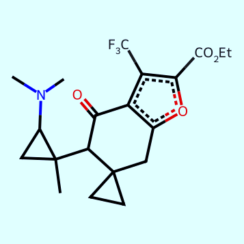 CCOC(=O)c1oc2c(c1C(F)(F)F)C(=O)C(C1(C)CC1N(C)C)C1(CC1)C2